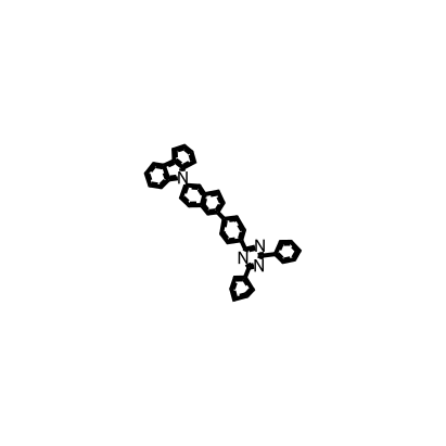 c1ccc(-c2nc(-c3ccccc3)nc(-c3ccc(-c4ccc5cc(-n6c7ccccc7c7ccccc76)ccc5c4)cc3)n2)cc1